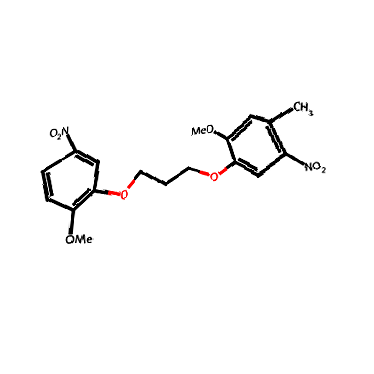 COc1ccc([N+](=O)[O-])cc1OCCCOc1cc([N+](=O)[O-])c(C)cc1OC